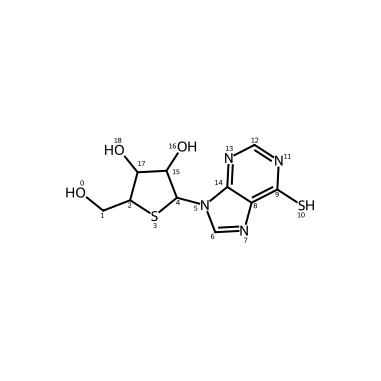 OCC1SC(n2cnc3c(S)ncnc32)C(O)C1O